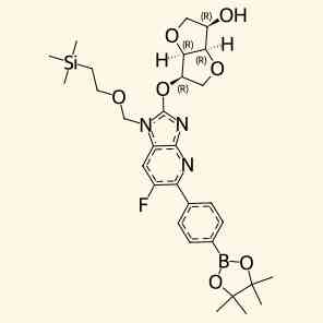 CC1(C)OB(c2ccc(-c3nc4nc(O[C@@H]5CO[C@H]6[C@@H]5OC[C@H]6O)n(COCC[Si](C)(C)C)c4cc3F)cc2)OC1(C)C